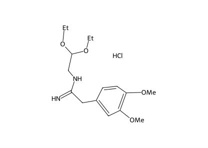 CCOC(CNC(=N)Cc1ccc(OC)c(OC)c1)OCC.Cl